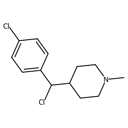 CN1CCC(C(Cl)c2ccc(Cl)cc2)CC1